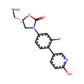 CC(=O)NC[C@H]1CN(c2ccc(-c3ccc(O)nc3)c(F)c2)C(=O)O1